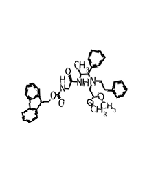 COC(CN(CCc1ccccc1)C(c1ccccc1)C(C)NC(=O)CNC(=O)OCC1c2ccccc2-c2ccccc21)OC